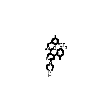 Cc1cc(CN(C)C(=O)c2cnc(N3CCNCC3)cc2-c2ccccc2C)cc(C(F)(F)F)c1